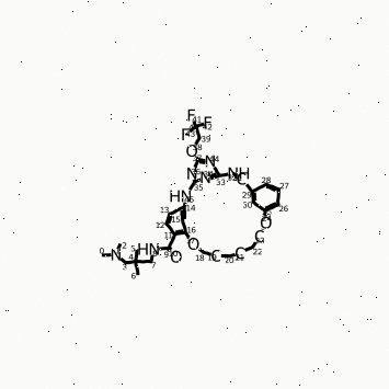 CN(C)CC(C)(C)CNC(=O)c1ccc2cc1OCCCCCCOc1cccc(c1)CNc1nc(nc(OCC(F)(F)F)n1)N2